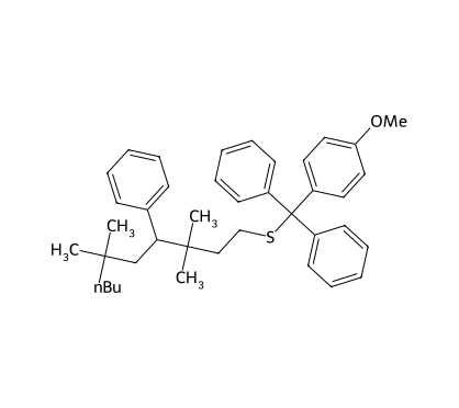 CCCCC(C)(C)CC(c1ccccc1)C(C)(C)CCSC(c1ccccc1)(c1ccccc1)c1ccc(OC)cc1